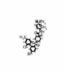 Cc1ccc(-c2cc(Br)ccc2S(=O)(=O)N2CCC(F)(C(=O)N[C@H](C)/C=C\S(C)(=O)=O)CC2)c(Cl)c1